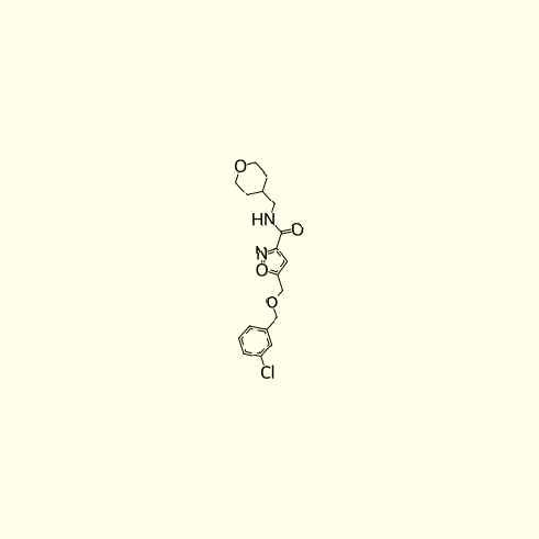 O=C(NCC1CCOCC1)c1cc(COCc2cccc(Cl)c2)on1